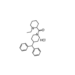 CCN1CCCCC1C(=O)N1CCC(C(c2ccccc2)c2ccccc2)CC1.Cl